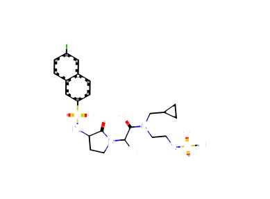 CC(C(=O)N(CCNS(C)(=O)=O)CC1CC1)N1CCC(NS(=O)(=O)c2ccc3cc(Cl)ccc3c2)C1=O